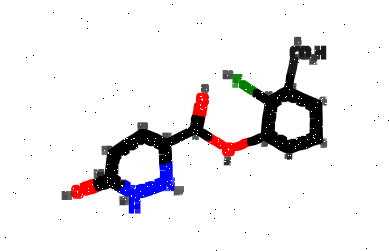 O=C(Oc1cccc(C(=O)O)c1F)c1ccc(=O)[nH]n1